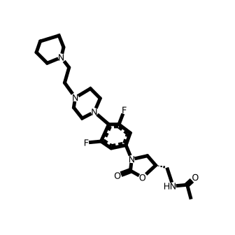 CC(=O)NC[C@H]1CN(c2cc(F)c(N3CCN(CCN4CCCCC4)CC3)c(F)c2)C(=O)O1